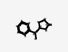 CN(c1ncccn1)[C@H]1CCNC1